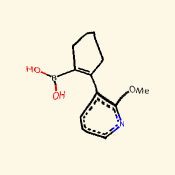 COc1ncccc1C1=C(B(O)O)CCC1